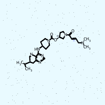 CC(C)C1C=Nc2c(ncnc2NC2CCN(C(=O)O[C@H]3CCN(C(=O)/C=C/CN(C)C)C3)CC2)C1